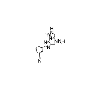 CNN1C=C2N=C(c3cccc(C#N)c3)N=C2N2C1=CNN2C